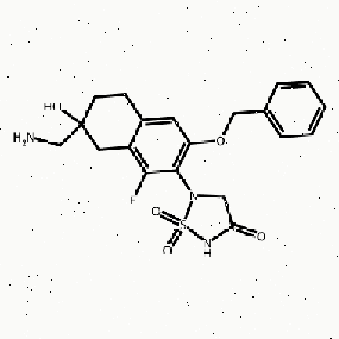 NCC1(O)CCc2cc(OCc3ccccc3)c(N3CC(=O)NS3(=O)=O)c(F)c2C1